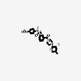 CCCCc1ccc(NS(=O)(=O)c2cccc(C(=O)N3CCN(c4ncc(C)cc4Cl)CC3)c2)cc1